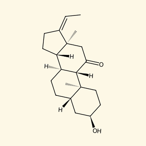 C/C=C1/CC[C@H]2[C@@H]3CC[C@H]4C[C@H](O)CC[C@]4(C)[C@H]3C(=O)C[C@]12C